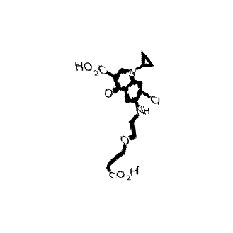 O=C(O)CCOCCNc1cc2c(=O)c(C(=O)O)cn(C3CC3)c2cc1Cl